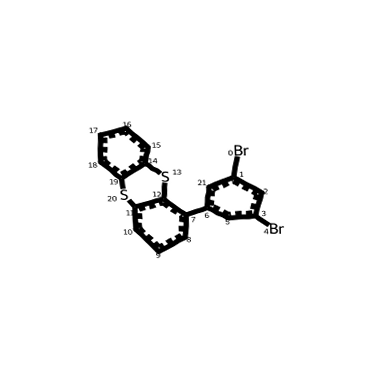 Brc1cc(Br)cc(-c2cccc3c2Sc2ccccc2S3)c1